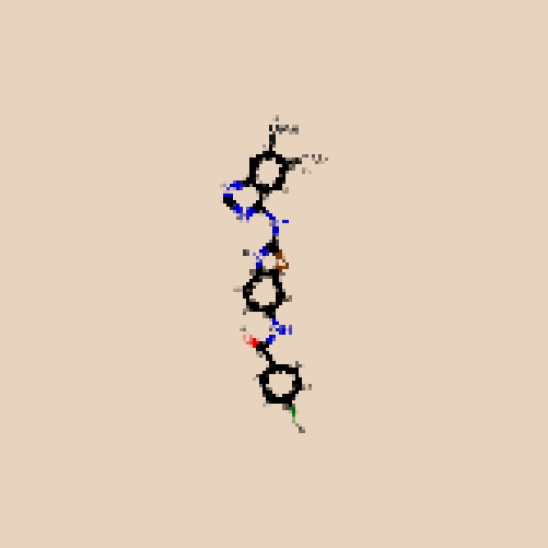 COc1cc2ncnc(Nc3nc4ccc(NC(=O)c5ccc(Cl)cc5)cc4s3)c2cc1OC